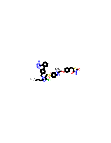 CCCCc1nc(Cl)c(CS(=O)(=O)c2ccc3nc(COc4ccc(CC5SC(=O)NC5=O)cc4)n(C)c3c2)n1Cc1ccc(-c2ccccc2-c2nnn[nH]2)cc1